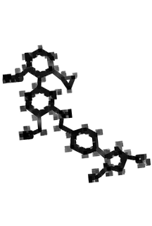 COc1ncnc(C2CC2)c1-c1ncc(CO)c(NCc2ccc(-c3nc(C(F)(F)F)cn3C(C)C)cc2)n1